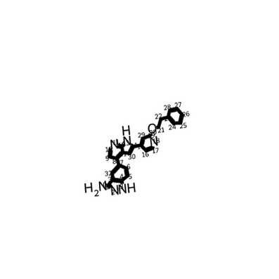 Nc1n[nH]c2ccc(-c3ccnc4[nH]c(-c5ccnc(OCCc6ccccc6)c5)cc34)cc12